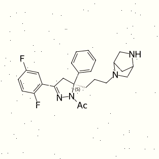 CC(=O)N1N=C(c2cc(F)ccc2F)C[C@@]1(CCCN1CC2CC1CN2)c1ccccc1